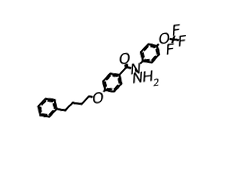 NN(C(=O)c1ccc(OCCCCc2ccccc2)cc1)c1ccc(OC(F)(F)F)cc1